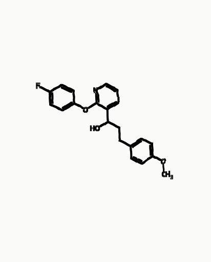 COc1ccc(CCC(O)c2cccnc2Oc2ccc(F)cc2)cc1